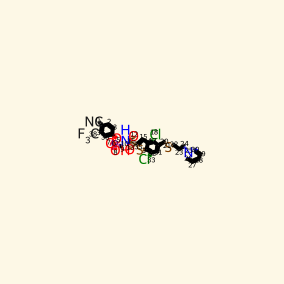 N#Cc1ccc(OP(=O)(O)CNS(=O)(=O)c2cc3c(Cl)c(CSCCC[n+]4ccccc4)cc(Cl)c3s2)cc1C(F)(F)F